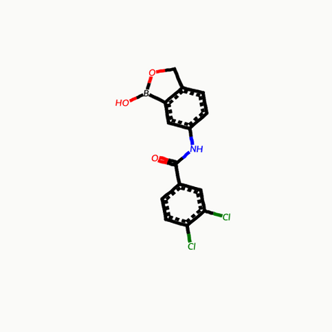 O=C(Nc1ccc2c(c1)B(O)OC2)c1ccc(Cl)c(Cl)c1